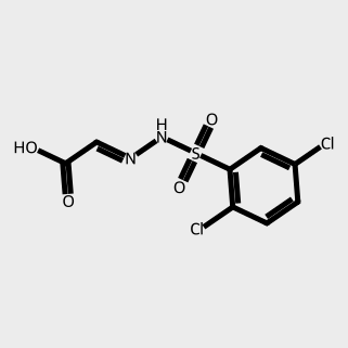 O=C(O)C=NNS(=O)(=O)c1cc(Cl)ccc1Cl